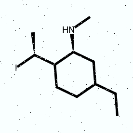 CCC1CCC([C@H](C)I)[C@@H](NC)C1